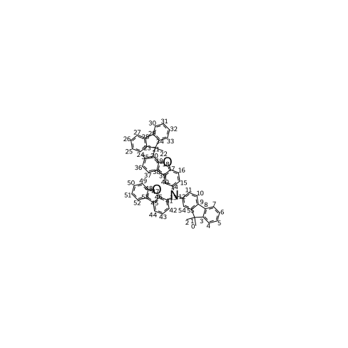 CC1(C)c2ccccc2-c2ccc(N(c3ccc4oc5c(C6(C)c7ccccc7-c7ccccc76)cccc5c4c3)c3cccc4c3oc3ccccc34)cc21